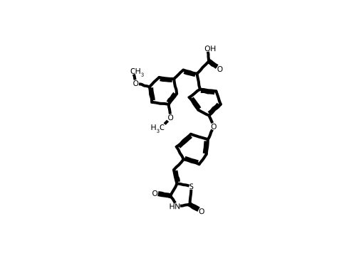 COc1cc(/C=C(/C(=O)O)c2ccc(Oc3ccc(/C=C4\SC(=O)NC4=O)cc3)cc2)cc(OC)c1